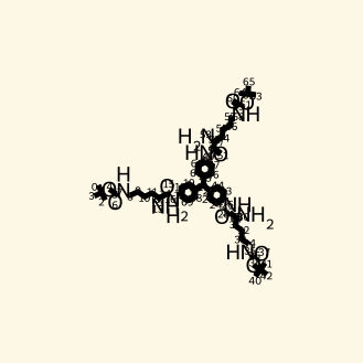 CC(C)(C)OC(=O)NCCCC[C@H](N)C(=O)Nc1ccc(C(c2ccc(NC(=O)[C@@H](N)CCCCNC(=O)OC(C)(C)C)cc2)c2ccc(NC(=O)[C@@H](N)CCCCNC(=O)OC(C)(C)C)cc2)cc1